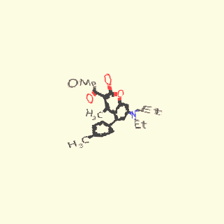 CCN(CC)c1cc(-c2ccc(C)cc2)c2c(C)c(C(=O)OC)c(=O)oc2c1